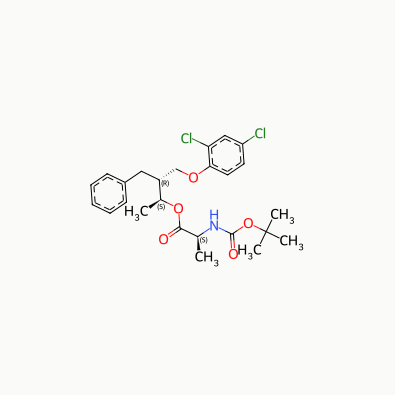 C[C@H](NC(=O)OC(C)(C)C)C(=O)O[C@@H](C)[C@@H](COc1ccc(Cl)cc1Cl)Cc1ccccc1